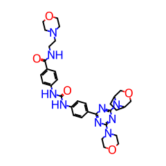 O=C(Nc1ccc(C(=O)NCCN2CCOCC2)cc1)Nc1ccc(-c2nc(N3CCOCC3)nc(N3C4CCC3COC4)n2)cc1